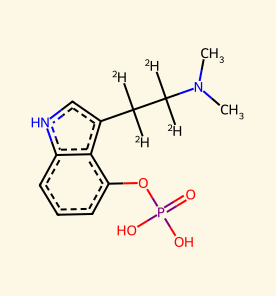 [2H]C([2H])(c1c[nH]c2cccc(OP(=O)(O)O)c12)C([2H])([2H])N(C)C